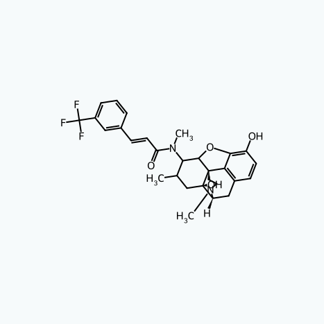 CC1C[C@@]2(O)[C@H]3Cc4ccc(O)c5c4[C@@]2(CCN3C)C(O5)C1N(C)C(=O)/C=C/c1cccc(C(F)(F)F)c1